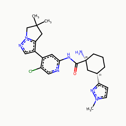 Cn1ccc([C@H]2CCC[C@](N)(C(=O)Nc3cc(-c4cnn5c4CC(C)(C)C5)c(Cl)cn3)C2)n1